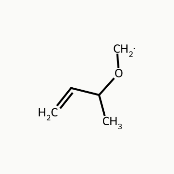 [CH2]OC(C)C=C